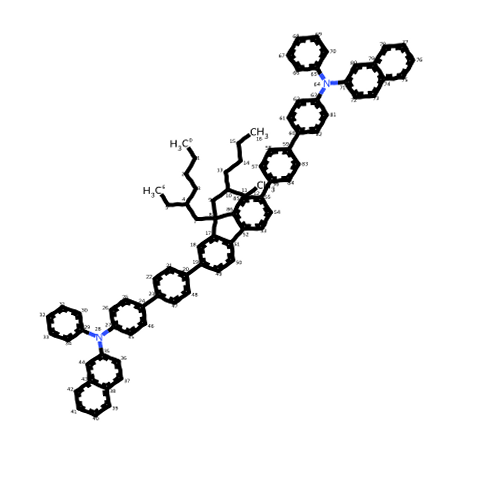 CCCCC(CC)CC1(CC(CC)CCCC)c2cc(-c3ccc(-c4ccc(N(c5ccccc5)c5ccc6ccccc6c5)cc4)cc3)ccc2-c2ccc(-c3ccc(-c4ccc(N(c5ccccc5)c5ccc6ccccc6c5)cc4)cc3)cc21